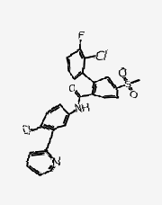 CS(=O)(=O)c1ccc(C(=O)Nc2ccc(Cl)c(-c3ccccn3)c2)c(-c2cccc(F)c2Cl)c1